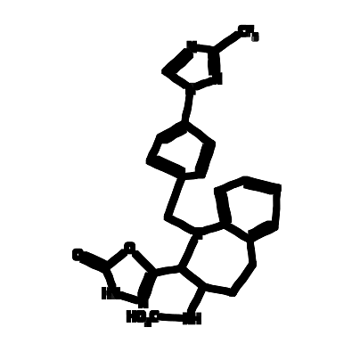 O=C(O)NC1CCc2ccccc2N(Cc2ccc(-n3cnc(C(F)(F)F)n3)cc2)C1c1n[nH]c(=O)o1